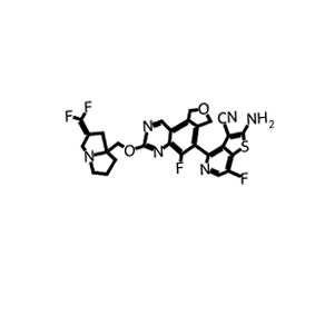 N#Cc1c(N)sc2c(F)cnc(-c3c4c(c5cnc(OCC67CCCN6CC(=C(F)F)C7)nc5c3F)COC4)c12